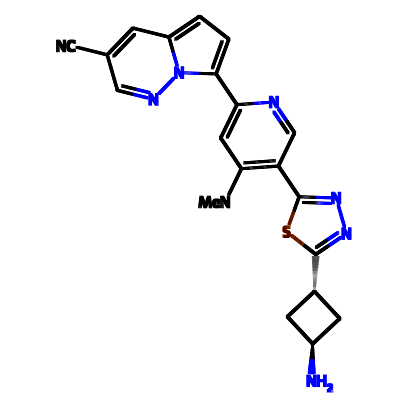 CNc1cc(-c2ccc3cc(C#N)cnn23)ncc1-c1nnc([C@H]2C[C@H](N)C2)s1